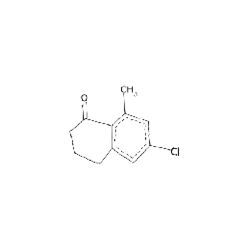 Cc1cc(Cl)cc2c1C(=O)CCC2